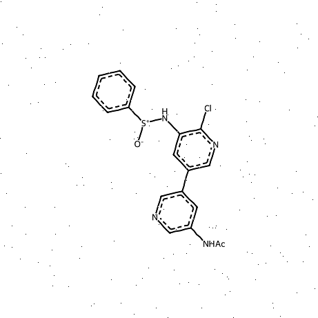 CC(=O)Nc1cncc(-c2cnc(Cl)c(N[S+]([O-])c3ccccc3)c2)c1